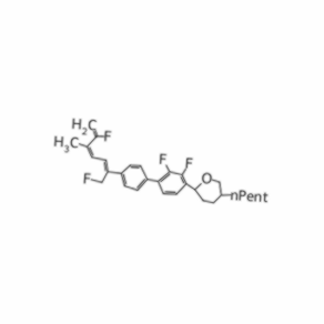 C=C(F)/C(C)=C\C=C(/CF)c1ccc(-c2ccc(C3CCC(CCCCC)CO3)c(F)c2F)cc1